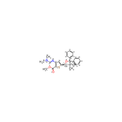 COC(=O)c1sc(CO[Si](c2ccccc2)(c2ccccc2)C(C)(C)C)cc1/N=C/N(C)C